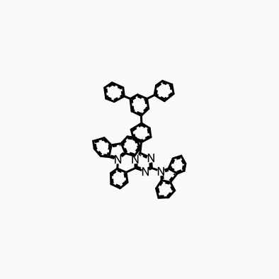 c1ccc(-c2cc(-c3ccccc3)cc(-c3ccc(-c4nc(-c5ccccc5-n5c6ccccc6c6ccccc65)nc(-n5c6ccccc6c6ccccc65)n4)cc3)c2)cc1